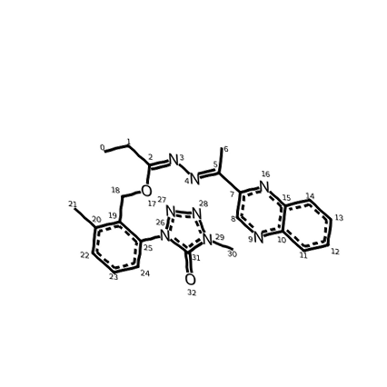 CCC(=NN=C(C)c1cnc2ccccc2n1)OCc1c(C)cccc1-n1nnn(C)c1=O